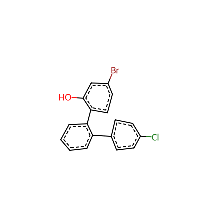 Oc1cc(Br)ccc1-c1ccccc1-c1ccc(Cl)cc1